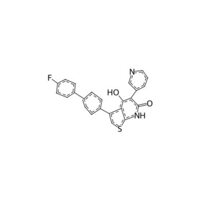 O=c1[nH]c2scc(-c3ccc(-c4ccc(F)cc4)cc3)c2c(O)c1-c1cccnc1